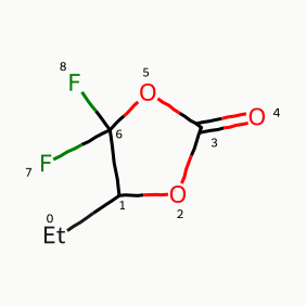 CCC1OC(=O)OC1(F)F